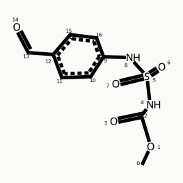 COC(=O)NS(=O)(=O)Nc1ccc(C=O)cc1